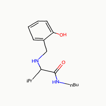 CCCCNC(=O)C(NCc1ccccc1O)C(C)C